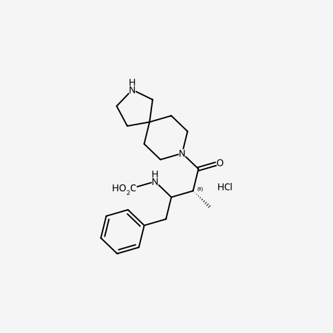 C[C@@H](C(=O)N1CCC2(CCNC2)CC1)C(Cc1ccccc1)NC(=O)O.Cl